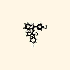 O=C(N1CCNCC1)C1(Cc2c(-c3ccc(Cl)cc3)nc3ccccn23)CCCO1